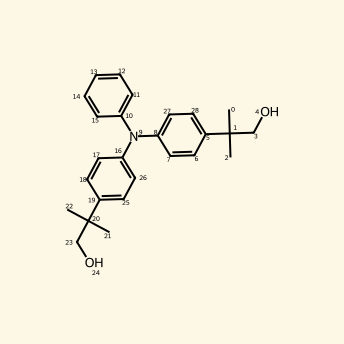 CC(C)(CO)c1ccc(N(c2ccccc2)c2ccc(C(C)(C)CO)cc2)cc1